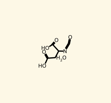 O.O=C=NC(CC(=O)O)C(=O)O